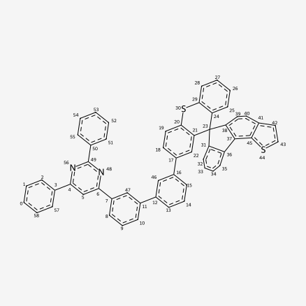 c1ccc(-c2cc(-c3cccc(-c4cccc(-c5ccc6c(c5)C5(c7ccccc7S6)c6ccccc6-c6c5ccc5ccsc65)c4)c3)nc(-c3ccccc3)n2)cc1